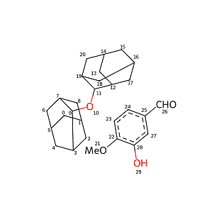 C1C2CC3CC1CC(C2)C3OC1C2CC3CC(C2)CC1C3.COc1ccc(C=O)cc1O